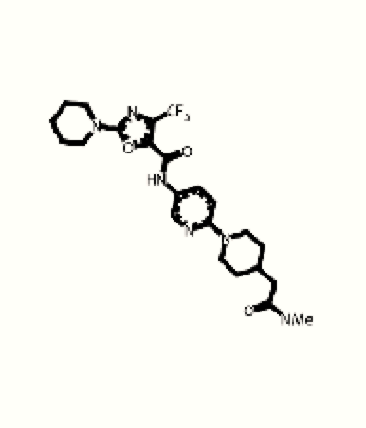 CNC(=O)CC1CCN(c2ccc(NC(=O)c3oc(N4CCCCC4)nc3C(F)(F)F)cn2)CC1